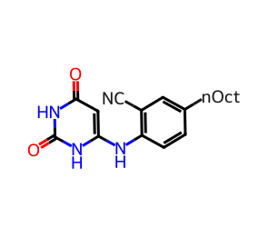 CCCCCCCCc1ccc(Nc2cc(=O)[nH]c(=O)[nH]2)c(C#N)c1